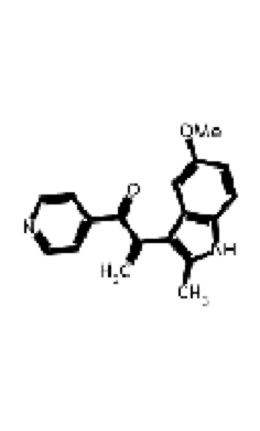 C=C(C(=O)c1ccncc1)c1c(C)[nH]c2ccc(OC)cc12